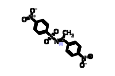 C/S(=N\S(=O)(=O)c1ccc([N+](=O)[O-])cc1)c1ccc([N+](=O)[O-])cc1